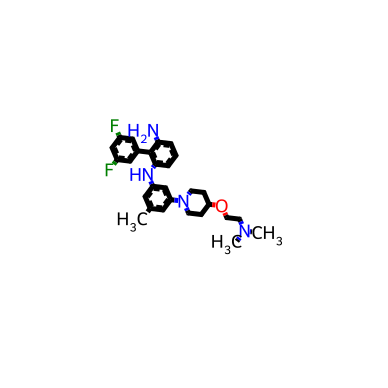 Cc1cc(Nc2cccc(N)c2-c2cc(F)cc(F)c2)cc(N2CCC(OCCN(C)C)CC2)c1